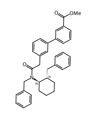 COC(=O)c1cccc(-c2cccc(CC(=O)N(Cc3ccccc3)[C@@H]3CCCC[C@H]3Cc3ccccc3)c2)c1